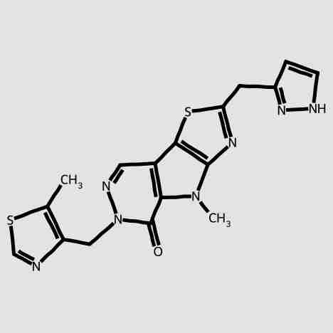 Cc1scnc1Cn1ncc2c3sc(Cc4cc[nH]n4)nc3n(C)c2c1=O